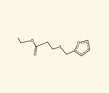 CCOC(=O)CCSCc1ccco1